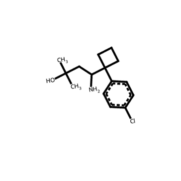 CC(C)(O)CC(N)C1(c2ccc(Cl)cc2)CCC1